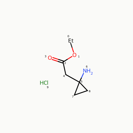 CCOC(=O)CC1(N)CC1.Cl